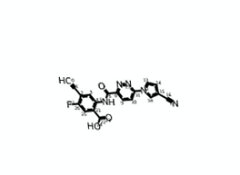 C#Cc1cc(NC(=O)c2ccc(-n3ccc(C#N)c3)nn2)c(C(=O)O)cc1F